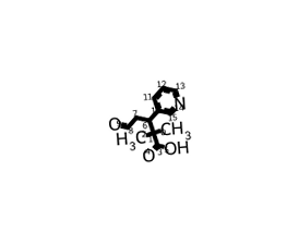 CC(C)(C(=O)O)C(CC=O)c1cccnc1